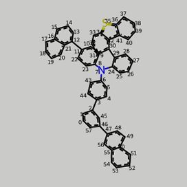 c1cc(-c2ccc(N(c3ccc(-c4cccc5ccccc45)cc3)c3ccccc3-c3cccc4sc5ccccc5c34)cc2)cc(-c2ccc3ccccc3c2)c1